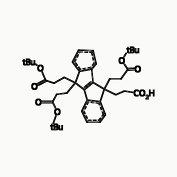 CC(C)(C)OC(=O)CCC1(CCC(=O)O)C2=C(c3ccccc31)C(CCC(=O)OC(C)(C)C)(CCC(=O)OC(C)(C)C)c1ccccc12